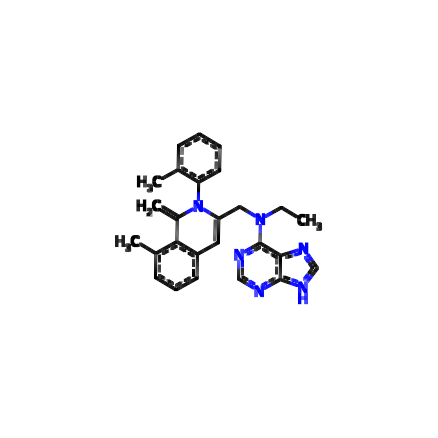 C=C1c2c(C)cccc2C=C(CN(CC)c2ncnc3[nH]cnc23)N1c1ccccc1C